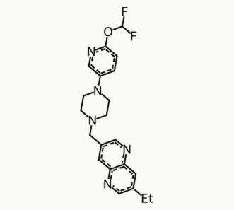 CCc1cnc2cc(CN3CCN(c4ccc(OC(F)F)nc4)CC3)cnc2c1